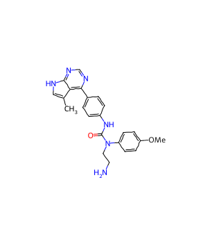 COc1ccc(N(CCN)C(=O)Nc2ccc(-c3ncnc4[nH]cc(C)c34)cc2)cc1